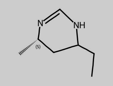 CCC1C[C@H](C)N=CN1